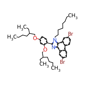 CCCCCCCCn1c(-c2ccc(OCC(CC)CCCC)cc2OCC(CC)CCCC)nc2c3cc(Br)ccc3c3ccc(Br)cc3c21